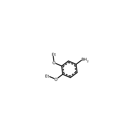 Bc1ccc(OCC)c(OCC)c1